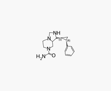 NC(=O)N1CCN2CNC([C@H]3C[C@H]3c3ccccc3)C2C1